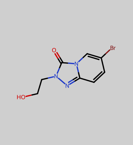 O=c1n(CCO)nc2ccc(Br)cn12